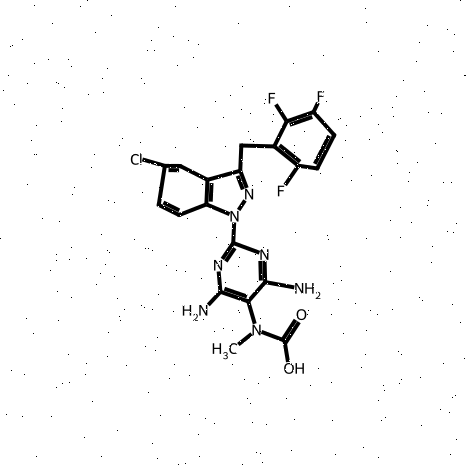 CN(C(=O)O)c1c(N)nc(-n2nc(Cc3c(F)ccc(F)c3F)c3cc(Cl)ccc32)nc1N